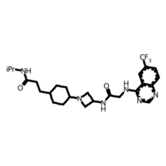 CC(C)NC(=O)CCC1CCC(N2CC(NC(=O)CNc3ncnc4ccc(C(F)(F)F)cc34)C2)CC1